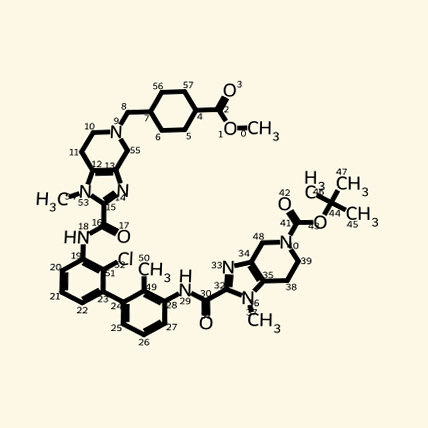 COC(=O)C1CCC(CN2CCc3c(nc(C(=O)Nc4cccc(-c5cccc(NC(=O)c6nc7c(n6C)CCN(C(=O)OC(C)(C)C)C7)c5C)c4Cl)n3C)C2)CC1